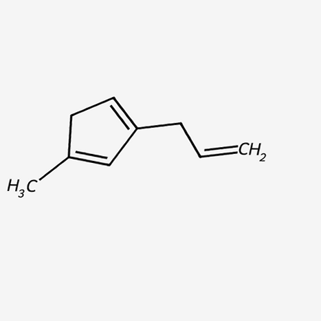 C=CCC1=CCC(C)=C1